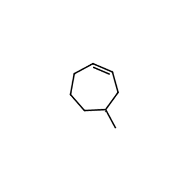 C[C]1CC=CCCC1